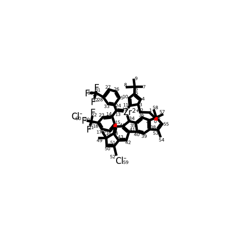 CCCC1C=C(C(C)(C)C)C=[C]1[Zr+2](=[C](c1cccc(C(F)(F)F)c1)c1cccc(C(F)(F)F)c1)[CH]1c2cc3c(cc2-c2cc4c(cc21)C(C)(C)C=C4C)C(C)=CC3(C)C.[Cl-].[Cl-]